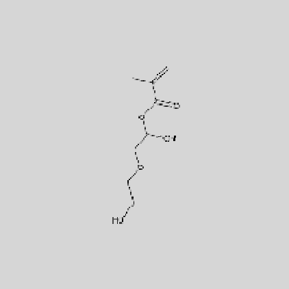 C=C(C)C(=O)OC(O)COCCO